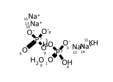 O.O=P([O-])(O)O.O=P([O-])([O-])[O-].[KH].[Na+].[Na+].[Na+].[Na+]